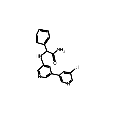 NC(=O)C(Nc1cncc(-c2cncc(Cl)c2)c1)c1ccccc1